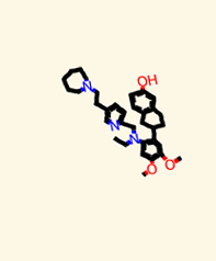 CCN(Cc1ccc(CCN2CCCCCC2)cn1)c1cc(OC)c(OC)cc1C1CCc2cc(O)ccc2C1